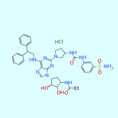 CCC(=O)N[C@@H]1C[C@@H](n2cnc3c(NCC(c4ccccc4)c4ccccc4)nc(N4CCC(NC(=O)Nc5cccc(S(N)(=O)=O)c5)C4)nc32)[C@H](O)C1O.Cl